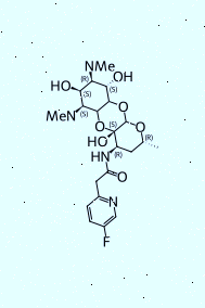 CN[C@@H]1[C@H](O)[C@H](NC)C2O[C@]3(O)C(OC2[C@H]1O)O[C@H](C)C[C@H]3NC(=O)Cc1ccc(F)cn1